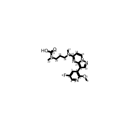 COc1ncc(F)cc1-c1cnn2ccc(N(C)CCCN(C)C(=O)O)nc12